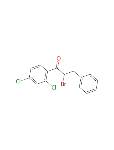 O=C(c1ccc(Cl)cc1Cl)C(Br)Cc1ccccc1